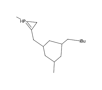 CCC(C)CC1CC(C)CC(CC2=[PH](C)C2)C1